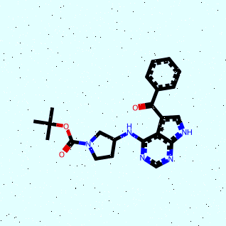 CC(C)(C)OC(=O)N1CCC(Nc2ncnc3[nH]cc(C(=O)c4ccccc4)c23)C1